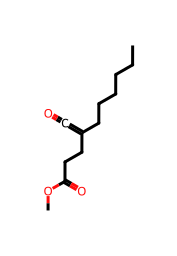 CCCCCCC(=C=O)CCC(=O)OC